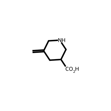 C=C1CNCC(C(=O)O)C1